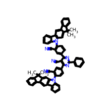 CC1(C)c2ccccc2-c2cc3c4ccccc4n(-c4ccc(-c5nc(-c6ccccc6)nc(-c6ccc(-n7c8ccccc8c8cc9c(cc87)C(C)(C)c7ccccc7-9)c(C#N)c6)c5C#N)cc4C#N)c3cc21